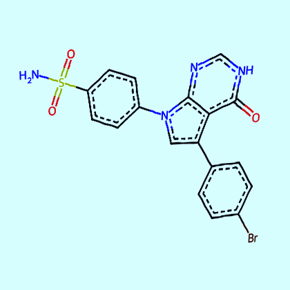 NS(=O)(=O)c1ccc(-n2cc(-c3ccc(Br)cc3)c3c(=O)[nH]cnc32)cc1